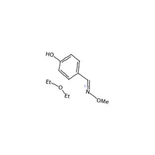 CCOCC.CO/N=C/c1ccc(O)cc1